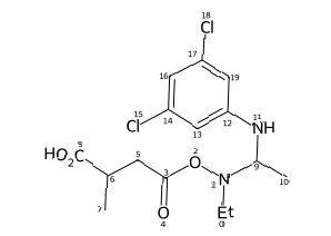 CCN(OC(=O)CC(C)C(=O)O)C(C)Nc1cc(Cl)cc(Cl)c1